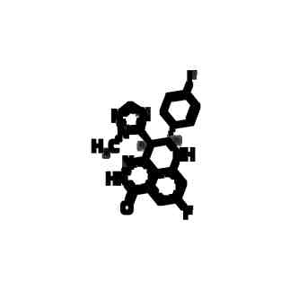 Cn1ncnc1[C@@H]1c2n[nH]c(=O)c3cc(F)cc(c23)N[C@H]1C1C=CC(F)=CC1